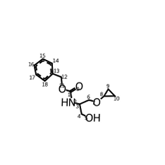 O=C(NC(CO)COC1CC1)OCc1ccccc1